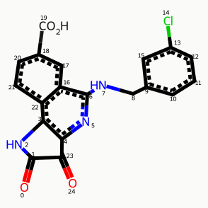 O=C1Nc2c(nc(NCc3cccc(Cl)c3)c3cc(C(=O)O)ccc23)C1=O